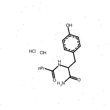 CCCC(=O)NC(Cc1ccc(O)cc1)C(N)=O.Cl.Cl